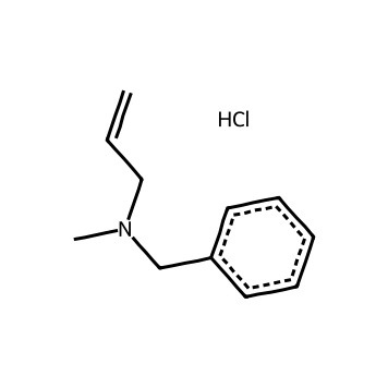 C=CCN(C)Cc1ccccc1.Cl